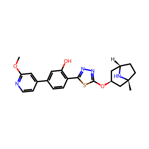 COc1cc(-c2ccc(-c3nnc(O[C@H]4C[C@@H]5CC[C@](C)(C4)N5)s3)c(O)c2)ccn1